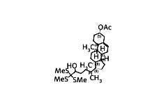 CSC(SC)(SC)C(O)CC[C@@H](C)[C@H]1CC[C@H]2[C@@H]3CC=C4C[C@@H](OC(C)=O)CC[C@]4(C)[C@H]3CC[C@]12C